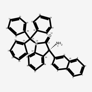 N[C@@]1(c2ccc3ccccc3c2)C(=O)N(C(c2ccccc2)(c2ccccc2)c2ccccc2)c2ccccc21